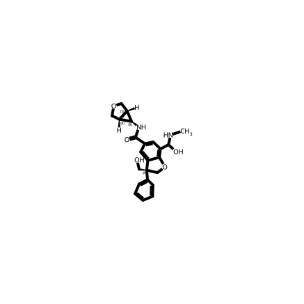 CNC(O)c1cc(C(=O)N[C@H]2[C@@H]3COC[C@@H]32)cc2c1OC[C@]2(CO)c1ccccc1